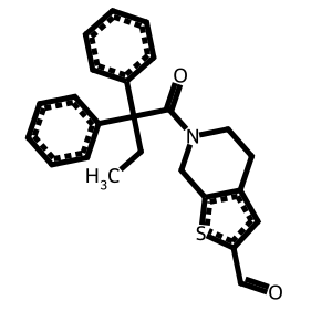 CCC(C(=O)N1CCc2cc(C=O)sc2C1)(c1ccccc1)c1ccccc1